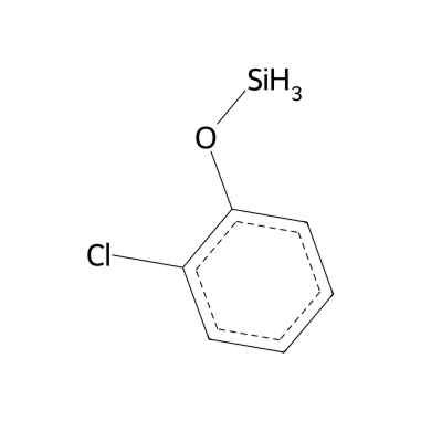 [SiH3]Oc1ccccc1Cl